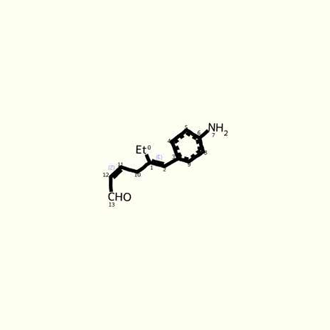 CC/C(=C\c1ccc(N)cc1)C/C=C\C=O